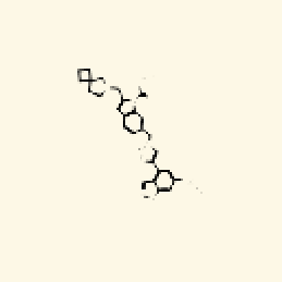 CC(C)(C)OC(=O)n1c(CN2CCC3(CCC3)C2)cc2ccc(Cn3cc(-c4cc([Se]C#N)cc5[nH]ncc45)nn3)cc21